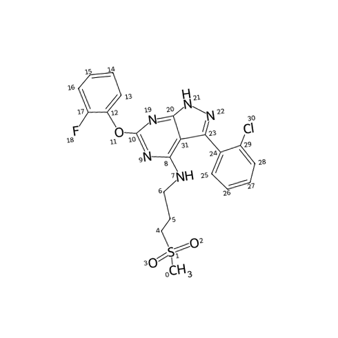 CS(=O)(=O)CCCNc1nc(Oc2ccccc2F)nc2[nH]nc(-c3ccccc3Cl)c12